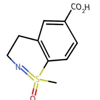 CS1(=O)=NCCc2cc(C(=O)O)ccc21